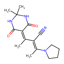 CC(=C1C(=O)NC(C)(C)NC1=O)/C(C#N)=C(\C)N1CCCC1